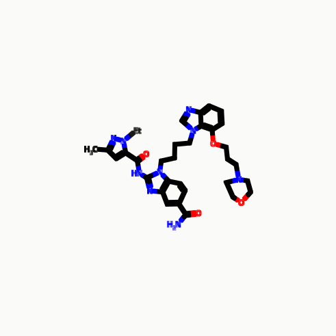 CCn1nc(C)cc1C(=O)Nc1nc2cc(C(N)=O)ccc2n1CCCCn1cnc2cccc(OCCCN3CCOCC3)c21